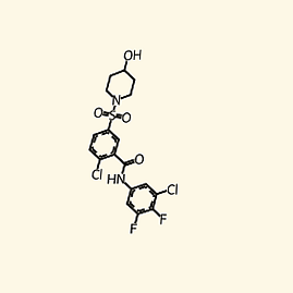 O=C(Nc1cc(F)c(F)c(Cl)c1)c1cc(S(=O)(=O)N2CCC(O)CC2)ccc1Cl